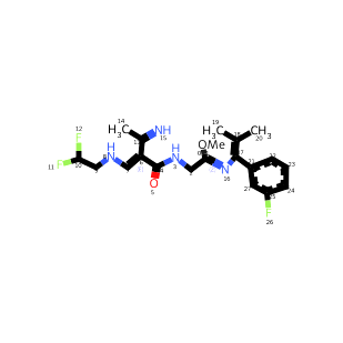 CO/C(CNC(=O)/C(=C/NCC(F)F)C(C)=N)=N\C(=C(C)C)c1cccc(F)c1